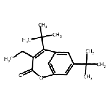 CCC1=C(C(C)(C)C)c2cc(cc(C(C)(C)C)c2)OC1=O